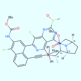 CC(C)[Si](C#Cc1cccc2c(F)c(NC(=O)OC(C)(C)C)cc(-c3nc4c5c(nc([S+](C)[O-])nc5c3F)N3C[C@H]5CC[C@@H]([C@H]3[C@H](C)O4)N5C(=O)OC(C)(C)C)c12)(C(C)C)C(C)C